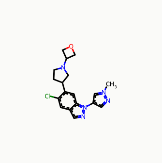 Cn1cc(-n2ncc3cc(Cl)c(C4CCN(C5COC5)C4)cc32)cn1